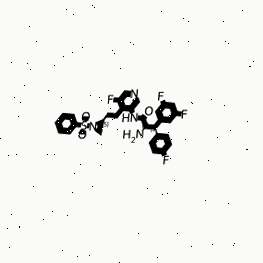 N[C@H](C(=O)Nc1cncc(F)c1CC[C@H]1CN1S(=O)(=O)c1ccccc1)[C@@H](c1ccc(F)cc1)c1cc(F)cc(F)c1